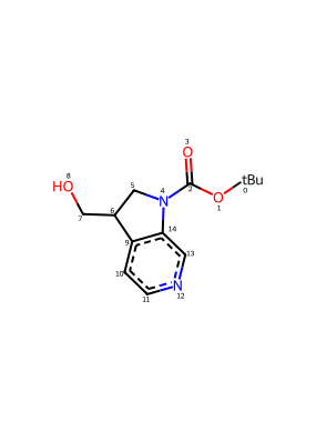 CC(C)(C)OC(=O)N1CC(CO)c2ccncc21